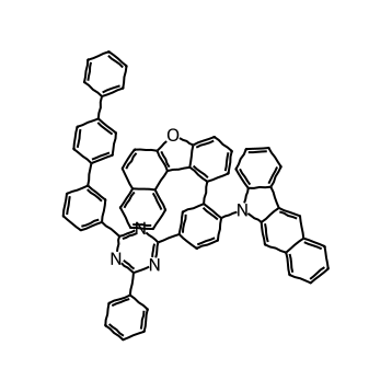 c1ccc(-c2ccc(-c3cccc(-c4nc(-c5ccccc5)nc(-c5ccc(-n6c7ccccc7c7cc8ccccc8cc76)c(-c6cccc7oc8ccc9ccccc9c8c67)c5)n4)c3)cc2)cc1